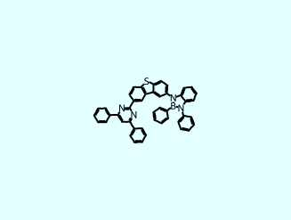 c1ccc(B2N(c3ccccc3)c3ccccc3N2c2ccc3sc4ccc(-c5nc(-c6ccccc6)cc(-c6ccccc6)n5)cc4c3c2)cc1